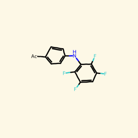 CC(=O)c1ccc(Nc2c(F)c(F)cc(F)c2F)cc1